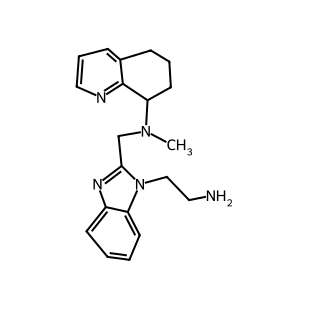 CN(Cc1nc2ccccc2n1CCN)C1CCCc2cccnc21